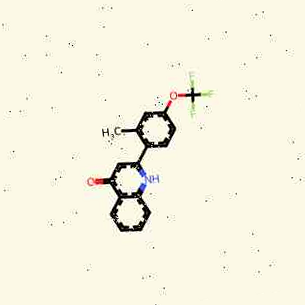 Cc1cc(OC(F)(F)F)ccc1-c1cc(=O)c2ccccc2[nH]1